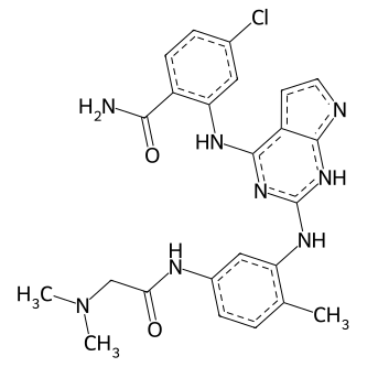 Cc1ccc(NC(=O)CN(C)C)cc1Nc1nc(Nc2cc(Cl)ccc2C(N)=O)c2ccnc-2[nH]1